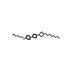 CCCCCCCCC1CCC(c2ccc(-c3ccc(OCCCCCC)cc3)cc2)CC1